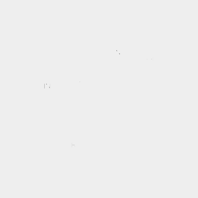 Oc1ccc(C2(CCCBr)CCCNC2)cn1